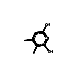 Cc1cc(O)nc(O)c1C